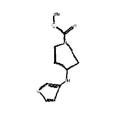 CC(C)(C)OC(=O)N1CCC(Nc2ccsc2)CC1